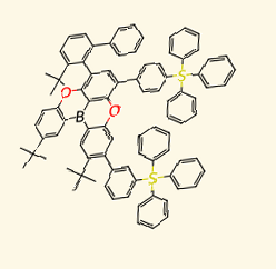 CC(C)(C)c1ccc2c(c1)B1c3cc(C(C)(C)C)c(-c4cccc(S(c5ccccc5)(c5ccccc5)c5ccccc5)c4)cc3Oc3c(-c4ccc(S(c5ccccc5)(c5ccccc5)c5ccccc5)cc4)cc(-c4c(-c5ccccc5)cccc4C(C)(C)C)c(c31)O2